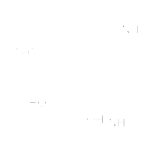 C=C.CC(=O)Oc1cccc(O)c1O.N.N